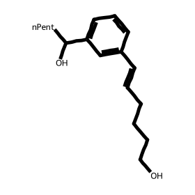 CCCCCC(O)c1cccc(/C=C/CCCCO)c1